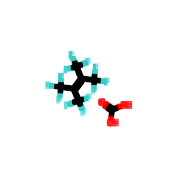 FC(F)(F)C(=C(C(F)(F)F)C(F)(F)F)C(F)(F)F.O=C(O)O